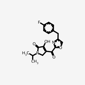 CC(C)N1CC(C(=O)c2nc(Cc3ccc(F)cc3)co2)=C(O)C1=O